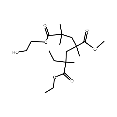 CCOC(=O)C(C)(CC)CC(C)(CC(C)(C)C(=O)OCCO)C(=O)OC